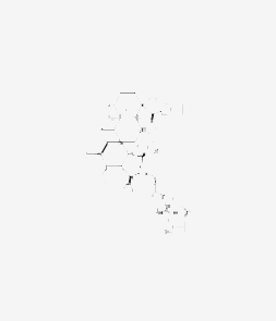 CC1=CC2(CCC3C(C)(C(=O)O)CCCC3(C)C2C)C2C(=O)N(CCOS(=O)(=O)O)C(=O)C2C1C